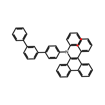 c1ccc(-c2cccc(-c3ccc(N(c4ccccc4)c4c(-c5ccccc5)c5ccccc5c5ccccc45)cc3)c2)cc1